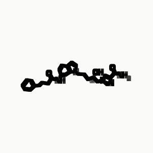 NC(=O)c1cn(C[C@@H](O)CCCn2ccc3ccc(NC(=O)CCCc4ccccc4)cc32)cn1